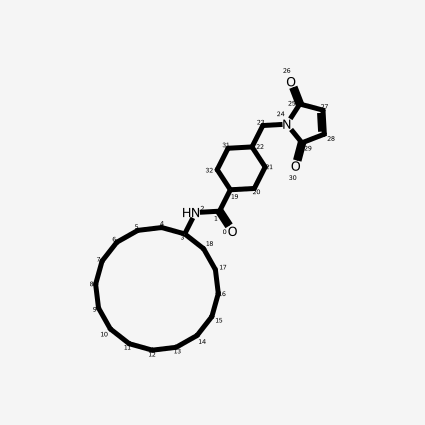 O=C(NC1CCCCCCCCCCCCCCC1)C1CCC(CN2C(=O)C=CC2=O)CC1